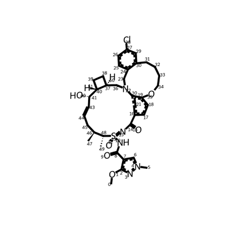 COc1nn(C)cc1C(=O)NS1(=O)=NC(=O)c2ccc3c(c2)N(Cc2ccc(Cl)cc2CCCCO3)C[C@@H]2CC[C@H]2[C@@H](O)/C=C/C[C@H](C)[C@H]1C